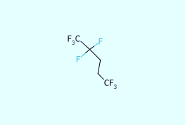 FC(F)(F)CCC(F)(F)C(F)(F)F